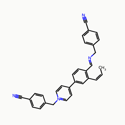 C/C=C\c1cc(-c2cc[n+](Cc3ccc(C#N)cc3)cc2)ccc1/C=N/Cc1ccc(C#N)cc1